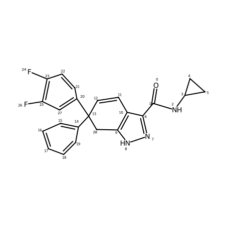 O=C(NC1CC1)c1n[nH]c2c1C=CC(c1ccccc1)(c1ccc(F)c(F)c1)C2